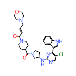 O=C(/C=C/CN1CCOCC1)N1CCC(C(=O)N2CC[C@H](Nc3ncc(Cl)c(-c4c[nH]c5ccccc45)n3)C2)CC1